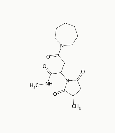 CNC(=O)C(CC(=O)N1CCCCCC1)N1C(=O)CC(C)C1=O